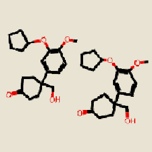 COc1ccc(C2(CO)CCC(=O)CC2)cc1OC1CCCC1.COc1ccc(C2(CO)CCC(=O)CC2)cc1OC1CCCC1